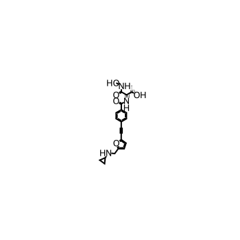 C[C@H](O)[C@H](NC(=O)c1ccc(C#Cc2ccc(CNC3CC3)o2)cc1)C(=O)NO